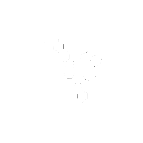 COc1ccc(Nc2nc3cnc(-c4cc5ccccc5n4C(=O)OC(C)(C)C)cc3n2CCCN2CCCCC2)cc1